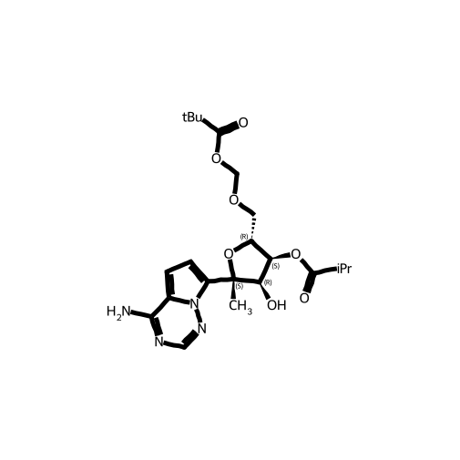 CC(C)C(=O)O[C@H]1[C@@H](O)[C@](C)(c2ccc3c(N)ncnn23)O[C@@H]1COCOC(=O)C(C)(C)C